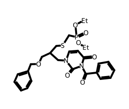 CCOP(=O)(CSCC(COCc1ccccc1)Cn1ccc(=O)n(C(=O)c2ccccc2)c1=O)OCC